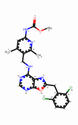 Cc1cc(NC(=O)OC(C)(C)C)nc(C)c1CNc1ncnc2oc(Cc3c(Cl)cccc3Cl)nc12